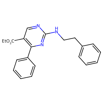 CCOC(=O)c1cnc(NCCc2ccccc2)nc1-c1ccccc1